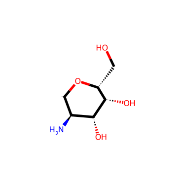 N[C@H]1[CH]O[C@H](CO)[C@H](O)[C@@H]1O